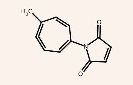 CC1=C=CC=C(N2C(=O)C=CC2=O)C=C1